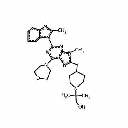 Cc1nc2ccccc2n1-c1nc(N2CCOCC2)c2nc(CC3CCN(C(C)(C)CO)CC3)n(C)c2n1